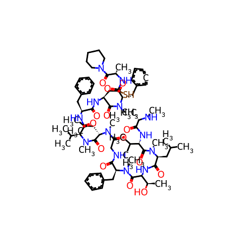 CN[C@@H](C)C(=O)N[C@H](C(=O)N(C)[C@@H](CC(C)C)C(=O)N[C@H](C(=O)N(C)[C@@H](Cc1ccccc1)C(=O)NCC(=O)N(C)[C@@H](CC(C)C)C(=O)N(C)[C@H](C(=O)N[C@@H](Cc1ccccc1)C(=O)N[C@@H](CC(=O)S)C(=O)N(C)[C@@H](Cc1ccccc1)C(=O)N[C@@H](C)C(=O)N1CCCCC1)C(C)C)[C@@H](C)O)C(C)C